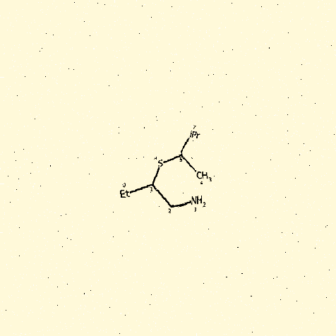 CCC(CN)SC(C)C(C)C